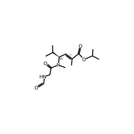 C/C(=C\[C@H](C(C)C)N(C)C(=O)CNC=O)C(=O)OC(C)C